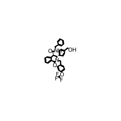 O=C(NCc1ccccc1)[C@@H]1c2ccccc2C(=O)N(Cc2ccc(OC(F)(F)F)cc2)[C@H]1c1ccc(CO)cc1